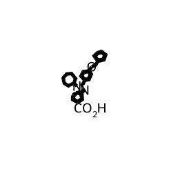 O=C(O)c1ccc2c(c1)nc(-c1ccc(OCc3ccccc3)cc1)n2C1CCCCCC1